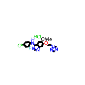 COc1cc2c(Nc3ccc(Cl)cc3F)ncnc2cc1OCCn1cncn1.Cl